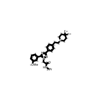 COc1cccc(-c2nc(-c3ccc(CCN4CCC(F)(F)CC4)cc3)nn2CC(=O)NC(C)C)c1